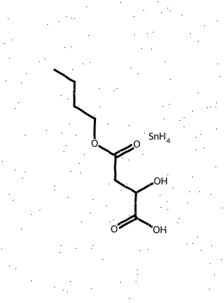 CCCCOC(=O)CC(O)C(=O)O.[SnH4]